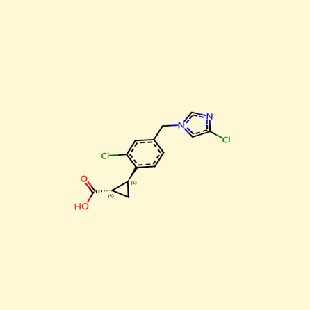 O=C(O)[C@H]1C[C@@H]1c1ccc(Cn2cnc(Cl)c2)cc1Cl